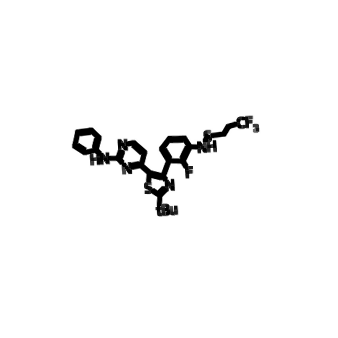 CC(C)(C)c1nc(-c2cccc(NSCCC(F)(F)F)c2F)c(-c2ccnc(Nc3ccccc3)n2)s1